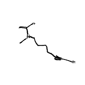 C=C(C(C)C)N(C)CCCCC#CC(C)C